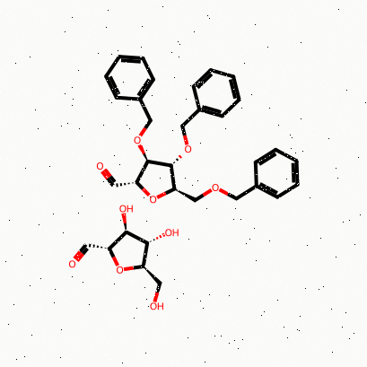 O=C[C@H]1O[C@H](CO)[C@@H](O)[C@@H]1O.O=C[C@H]1O[C@H](COCc2ccccc2)[C@@H](OCc2ccccc2)[C@@H]1OCc1ccccc1